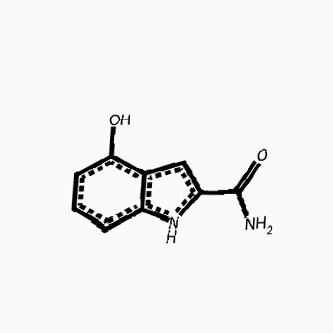 NC(=O)c1cc2c(O)cccc2[nH]1